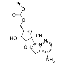 CC(C)OC(=O)OC[C@H]1O[C@@](C#N)(c2ccc3c(N)ccnn23)[C@H](O)[C@@H]1O